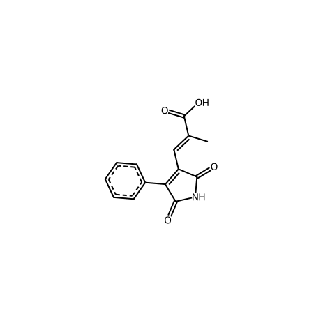 CC(=CC1=C(c2ccccc2)C(=O)NC1=O)C(=O)O